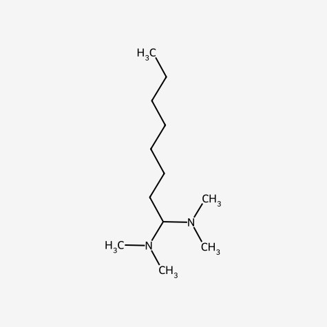 CCCCCCCC(N(C)C)N(C)C